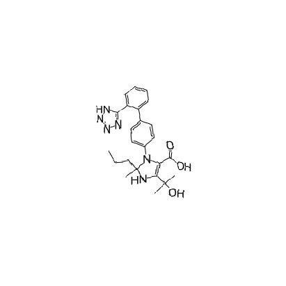 CCCC1(C)NC(C(C)(C)O)=C(C(=O)O)N1c1ccc(-c2ccccc2-c2nnn[nH]2)cc1